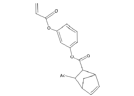 C=CC(=O)Oc1cccc(OC(=O)C2C3C=CC(C3)C2C(C)=O)c1